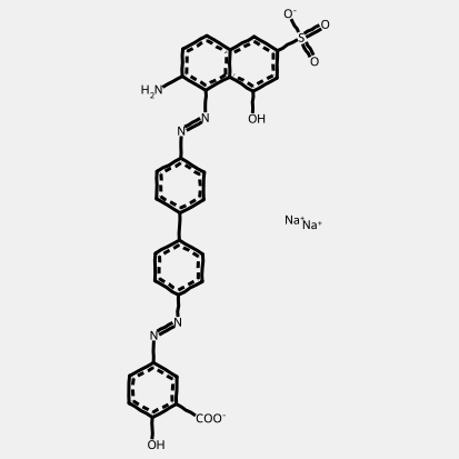 Nc1ccc2cc(S(=O)(=O)[O-])cc(O)c2c1N=Nc1ccc(-c2ccc(N=Nc3ccc(O)c(C(=O)[O-])c3)cc2)cc1.[Na+].[Na+]